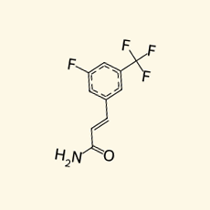 NC(=O)C=Cc1cc(F)cc(C(F)(F)F)c1